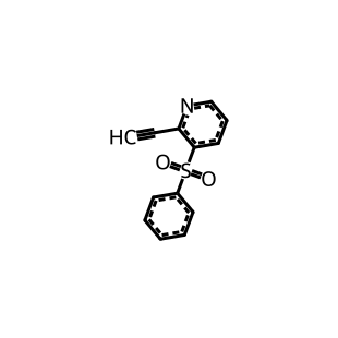 C#Cc1ncccc1S(=O)(=O)c1ccccc1